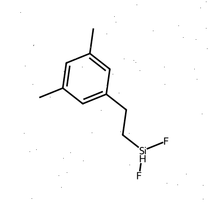 Cc1cc(C)cc(CC[SiH](F)F)c1